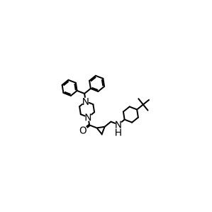 CC(C)(C)C1CCC(NCC2CC2C(=O)N2CCN(C(c3ccccc3)c3ccccc3)CC2)CC1